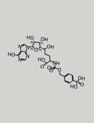 O=C(NC(CCC(O)[C@H]1O[C@@H](n2cnc3c(O)ncnc32)[C@H](O)[C@@H]1O)P(=O)(O)O)OCc1ccc(P(=O)(O)O)cc1